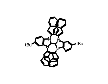 CC(C)(C)c1ccc2c(c1)N(c1ccc3ccccc3c1)C(C1N(c3ccc4ccccc4c3)c3ccc(C(C)(C)C)cc3N1c1ccc3ccccc3c1)N2c1ccc2ccccc2c1